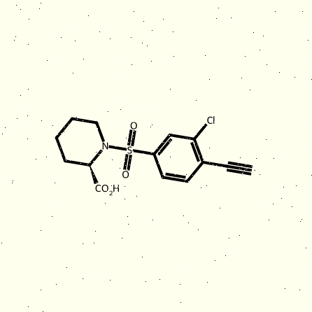 [C]#Cc1ccc(S(=O)(=O)N2CCCC[C@@H]2C(=O)O)cc1Cl